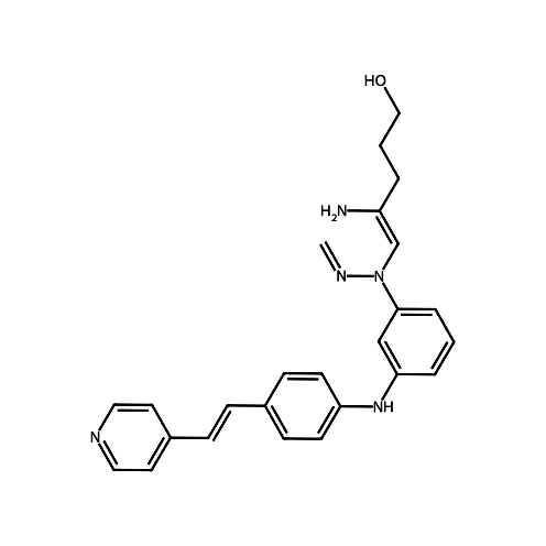 C=NN(/C=C(\N)CCCO)c1cccc(Nc2ccc(/C=C/c3ccncc3)cc2)c1